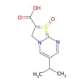 CC(C)C1=CN2CC(C(=O)O)=S(=O)=C2N=C1